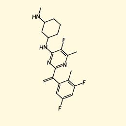 C=C(c1nc(C)c(F)c(NC2CCCC(NC)C2)n1)c1cc(F)cc(F)c1C